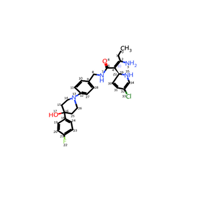 CC/C(N)=C(\C(=O)NCc1ccc(N2CCC(O)(c3ccc(F)cc3)CC2)cc1)[C@@H]1C=CC(Cl)=CN1